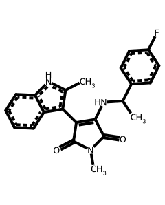 Cc1[nH]c2ccccc2c1C1=C(NC(C)c2ccc(F)cc2)C(=O)N(C)C1=O